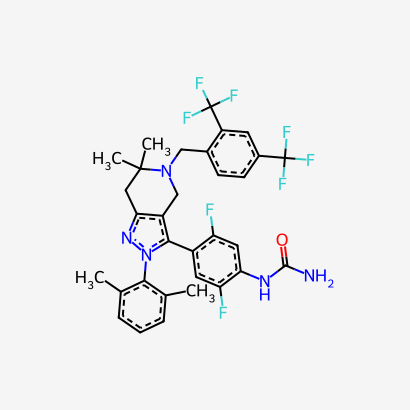 Cc1cccc(C)c1-n1nc2c(c1-c1cc(F)c(NC(N)=O)cc1F)CN(Cc1ccc(C(F)(F)F)cc1C(F)(F)F)C(C)(C)C2